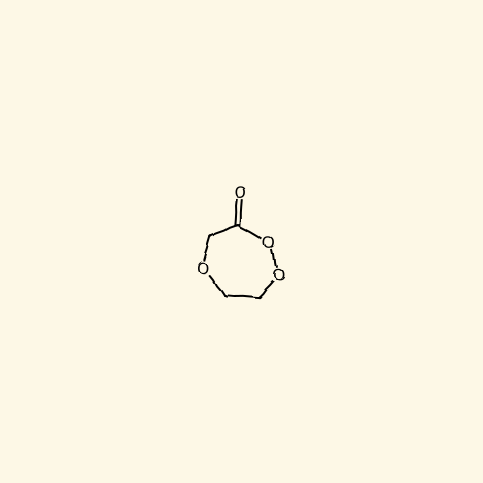 O=C1COCCOO1